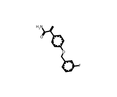 C=C(C(N)=O)c1ccc(OCc2cccc(F)c2)cc1